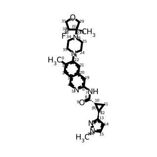 Cc1cc2cnc(NC(=O)[C@@H]3C[C@H]3c3ccn(C)n3)cc2cc1N1CCN([C@@]2(C)COC[C@H]2F)CC1